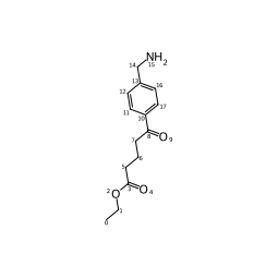 CCOC(=O)CCCC(=O)c1ccc(CN)cc1